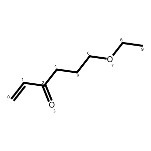 C=CC(=O)CCCOCC